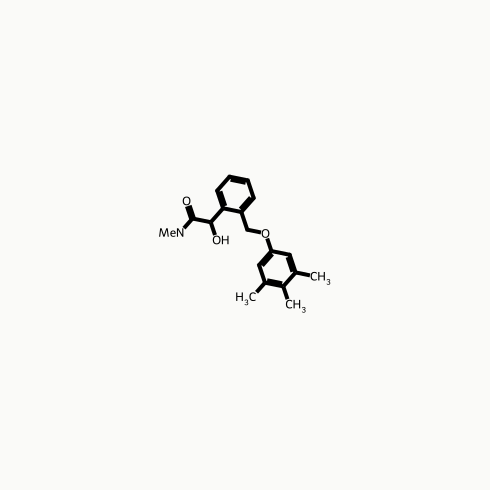 CNC(=O)C(O)c1ccccc1COc1cc(C)c(C)c(C)c1